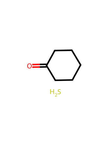 O=C1CCCCC1.S